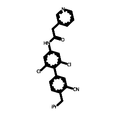 CC(C)Cc1ccc(-c2c(Cl)cc(NC(=O)Cc3cccnc3)cc2Cl)cc1C#N